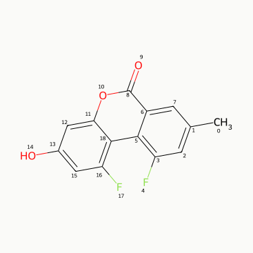 Cc1cc(F)c2c(c1)c(=O)oc1cc(O)cc(F)c12